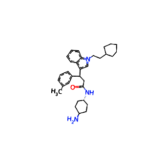 Cc1cccc(C(CC(=O)N[C@H]2CC[C@H](N)CC2)c2cn(CCC3CCCCC3)c3ccccc23)c1